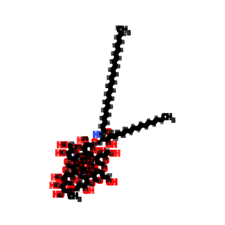 CCCCCCCCCCCCC/C=C/[C@@H](O)[C@H](CO[C@@H]1OC(CO)[C@@H](O[C@@H]2OC(CO)[C@H](O)[C@H](O[C@@H]3OC(CO)[C@@H](O[C@H]4OC(C)[C@@H](O)C(O)[C@@H]4O)[C@H](O[C@@H]4OC(CO)[C@H](O)[C@H](O[C@@H]5OC(CO)[C@@H](O[C@@H]6OC(CO)[C@H](O)[C@H](O)C6O[C@H]6OC(C)[C@@H](O)C(O)[C@@H]6O)[C@H](O)C5NC(C)=O)C4O)C3NC(C)=O)C2O)[C@H](O)C1O)NC(=O)CCCCCCCCCCCCCCCCCCCCCCCCC